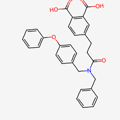 O=C(O)c1ccc(CCC(=O)N(Cc2ccccc2)Cc2ccc(Oc3ccccc3)cc2)cc1C(=O)O